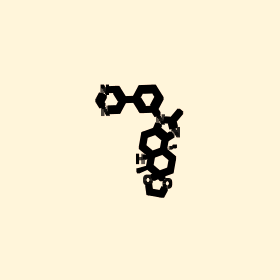 Cc1nc2c(n1-c1cccc(-c3cncnc3)c1)CC[C@H]1[C@H](C)C3(CC[C@]21C)OCCO3